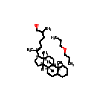 CC(CO)CCC[C@@H](C)[C@H]1CC[C@H]2[C@@H]3CCC4CCCC[C@]4(C)[C@H]3CC[C@]12C.CCCOCCC